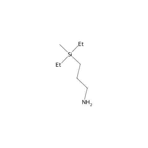 CC[Si](C)(CC)CCCN